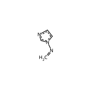 C=Nn1ccnc1